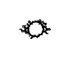 C=C[C@@H]1[C@@H]2CC(C/C=C/C=C(\C)Cc3cc(OC)c(Cl)c(c3)N(C)C(=O)CCC3O[C@H]31)N(C)C(=O)O2